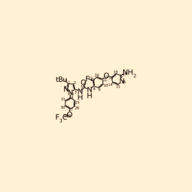 CC(C)(C)c1cc(NC(=O)Nc2ccc(Oc3ccnc(N)c3)cc2F)n(-c2ccc(OC(F)(F)F)cc2)n1